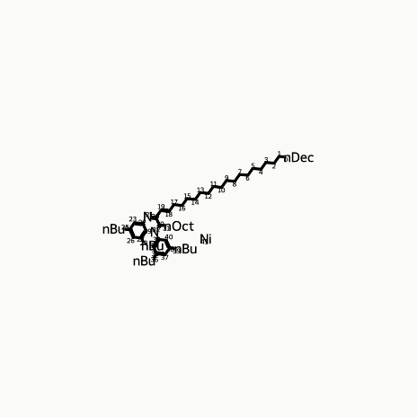 CCCCCCCCCCCCCCCCCCCCCCCCCCCC=CC(=Nc1cc(CCCC)cc(CCCC)c1)C(CCCCCCCC)=Nc1cc(CCCC)cc(CCCC)c1.[Ni]